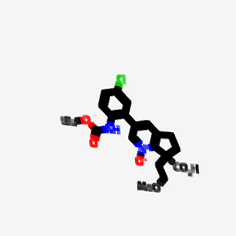 COCCC1(C(=O)O)CCc2cc(-c3cc(Cl)ccc3NC(=O)OC(C)(C)C)c[n+]([O-])c21